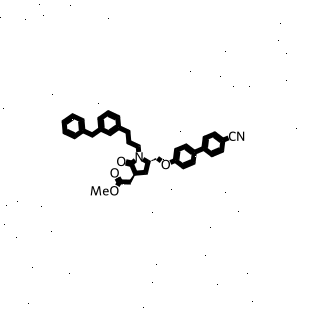 COC(=O)C[C@@H]1C[C@@H](COc2ccc(-c3ccc(C#N)cc3)cc2)N(CCCc2cccc(Cc3ccccc3)c2)C1=O